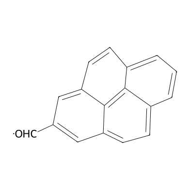 O=[C]c1cc2ccc3cccc4ccc(c1)c2c34